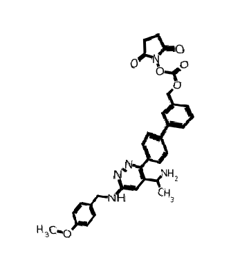 COc1ccc(CNc2cc(C(C)N)c(-c3ccc(-c4cccc(COC(=O)ON5C(=O)CCC5=O)c4)cc3)nn2)cc1